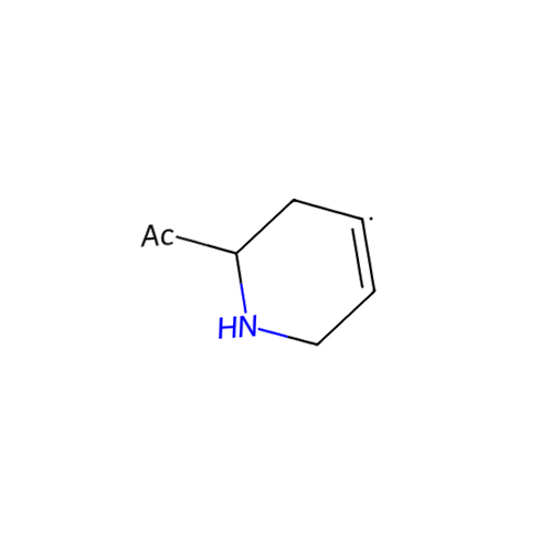 CC(=O)C1C[C]=CCN1